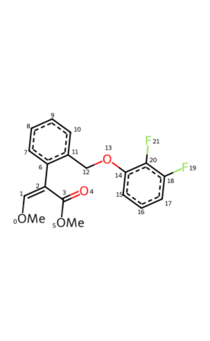 COC=C(C(=O)OC)c1ccccc1COc1cccc(F)c1F